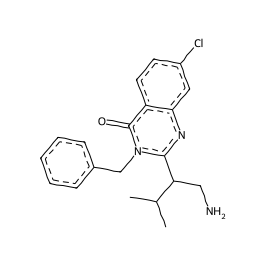 CC(C)C(CN)c1nc2cc(Cl)ccc2c(=O)n1Cc1ccccc1